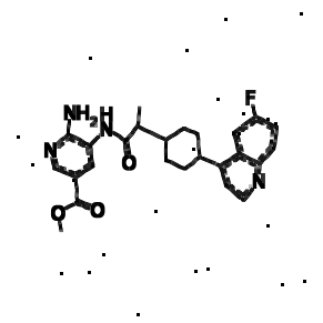 COC(=O)c1cnc(N)c(NC(=O)C(C)C2CCC(c3ccnc4ccc(F)cc34)CC2)c1